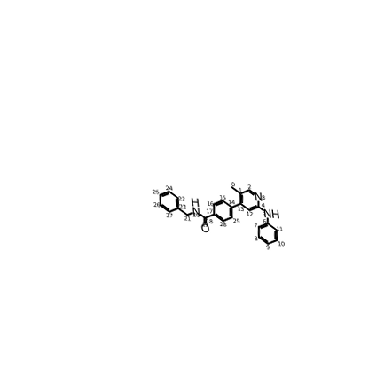 Cc1cnc(Nc2ccccc2)cc1-c1ccc(C(=O)NCc2ccccc2)cc1